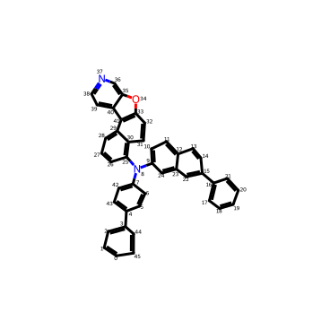 c1ccc(-c2ccc(N(c3ccc4ccc(-c5ccccc5)cc4c3)c3cccc4c3ccc3oc5cnccc5c34)cc2)cc1